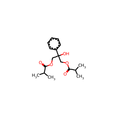 CC(C)C(=O)OCC(O)(COC(=O)C(C)C)c1ccccc1